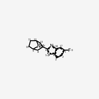 Fc1ccc2sc(C3CC4CCC(C3)N4)nc2c1